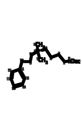 CCCCCCCCCCCCCC[N+](C)(C)CCCc1ccccc1